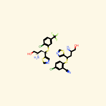 N#Cc1cc(Cl)ccc1SC(CC(N)CO)c1cncs1.N[C@H](CO)C[C@@H](Sc1cc(C(F)(F)F)ccc1Cl)c1cncs1